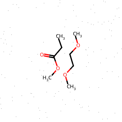 CCC(=O)OC.COCCOC